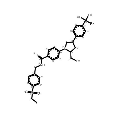 CCS(=O)(=O)c1ccc(CNC(=O)c2ccc(N3CC(c4ccc(C(F)(F)F)cc4)C[C@H]3CF)cc2)cc1